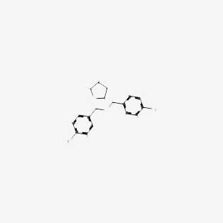 Brc1ccc(COCc2ccc(Br)cc2)cc1.C1CCOC1